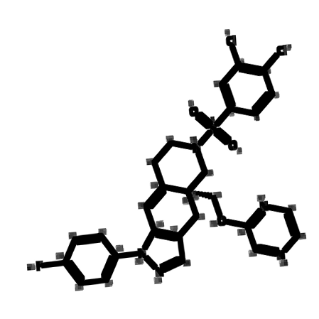 O=S(=O)(c1ccc(Cl)c(Cl)c1)N1CCC2=Cc3c(cnn3-c3ccc(F)cc3)C[C@]2(COc2cnccn2)C1